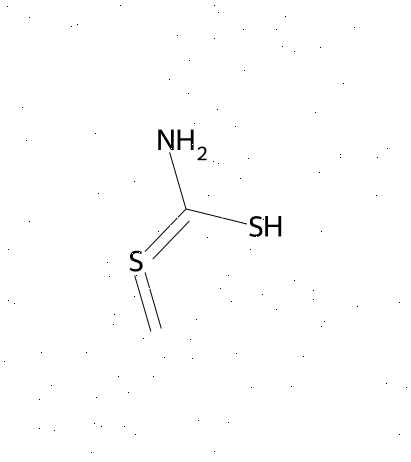 C=S=C(N)S